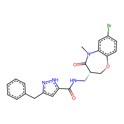 CN1C(=O)[C@@H](CNC(=O)c2cc(Cc3ccccc3)n[nH]2)COc2ccc(Br)cc21